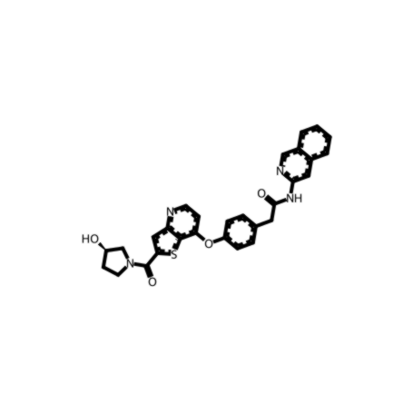 O=C(Cc1ccc(Oc2ccnc3cc(C(=O)N4CC[C@@H](O)C4)sc23)cc1)Nc1cc2ccccc2cn1